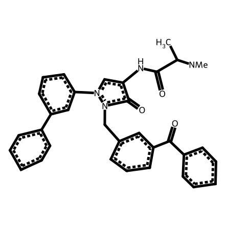 CNC(C)C(=O)Nc1cn(-c2cccc(-c3ccccc3)c2)n(Cc2cccc(C(=O)c3ccccc3)c2)c1=O